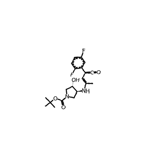 C/C(=C\C(=C=O)c1cc(F)ccc1F)N[C@H]1CN(C(=O)OC(C)(C)C)C[C@@H]1O